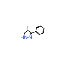 CC1CNN=C1c1ccccc1